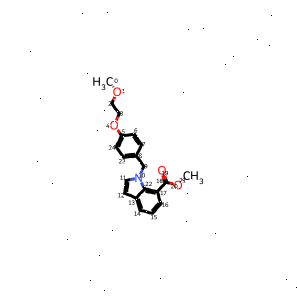 COCCOc1ccc(Cn2ccc3cccc(C(=O)OC)c32)cc1